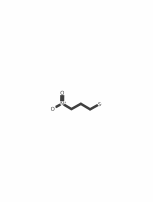 O=[N+]([O-])CCC[S]